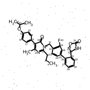 CCCc1nc(C)c(-c2ccc(OC(C)C)cc2)c(=O)n1Cc1ccc(-c2ccccc2-c2noc(=O)[nH]2)cc1F